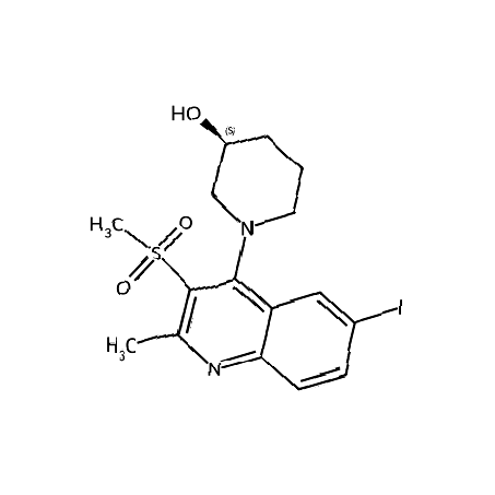 Cc1nc2ccc(I)cc2c(N2CCC[C@H](O)C2)c1S(C)(=O)=O